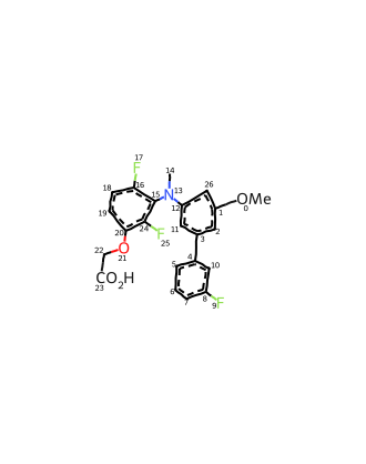 COc1cc(-c2cccc(F)c2)cc(N(C)c2c(F)ccc(OCC(=O)O)c2F)c1